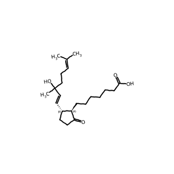 CC(C)=CCCC(C)(O)C=C[C@H]1CCC(=O)[C@@H]1CCCCCCC(=O)O